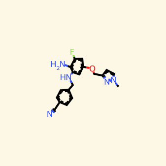 Cn1ccc(COc2cc(F)c(N)c(NCc3ccc(C#N)cc3)c2)n1